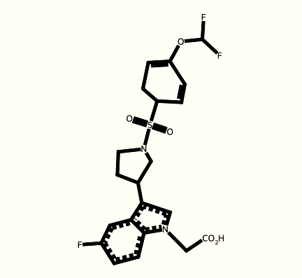 O=C(O)Cn1cc(C2CCN(S(=O)(=O)C3C=CC(OC(F)F)=CC3)C2)c2cc(F)ccc21